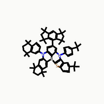 CC(C)(C)c1ccc(N2c3cc(-c4c5c(cc6c4C(C)(C)CC6(C)C)C(C)(C)CC5(C)C)cc4c3B(c3cc5c(cc3N4c3ccc4c(c3)C(C)(C)CCC4(C)C)C(C)(C)CCC5(C)C)c3sc4ccc(C(C)(C)C)cc4c32)cc1